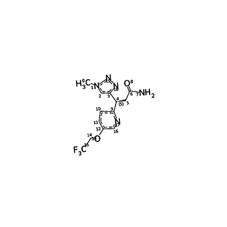 Cn1cc([C@@H](CC(N)=O)c2ccc(OCC(F)(F)F)cn2)nn1